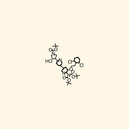 CC(C)(C)OC(=O)N1CC(O)C(c2ccc(-c3cnc(N(C(=O)OC(C)(C)C)C(=O)OC(C)(C)C)c(OCCc4c(Cl)cccc4Cl)c3)cn2)C1